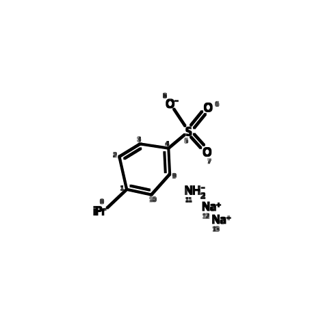 CC(C)c1ccc(S(=O)(=O)[O-])cc1.[NH2-].[Na+].[Na+]